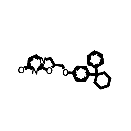 O=c1ccn2c(n1)OC(COc1ccc(C3(c4ccccc4)CCCCC3)cc1)C2